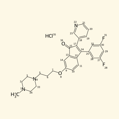 CN1CCN(CCCOc2ccc3c(c2)C(=O)C(c2cccnc2)=C3c2cc(F)cc(F)c2)CC1.Cl